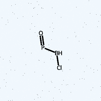 O=PBCl